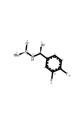 CC(C)[C@H](N[S@+]([O-])C(C)(C)C)c1ccc(F)c(F)c1